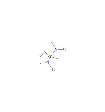 C=C[Si](C)(N(C)CC)N(C)CC